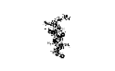 CN[C@@H](N[C@@H](C=O)Cc1ccccc1)C(=O)N[C@@H](N[C@@H](C=O)CC(N)=O)C(=O)N[C@@H](N[C@@H](C)C=O)C(=O)N[C@@H](N[C@@H](C=O)Cc1ccccc1)C(=O)N[C@@H](N[C@@H](C=O)Cc1ccc(O)cc1)C(=O)N[C@@H](N[C@@H](C)C=O)C(=O)N[C@@H](N[C@@H](C=O)CCCNC(=N)N)C(=O)N[C@@H](N[C@@H](C=O)CCCNC(=N)N)C(N)=O